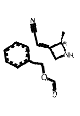 C[C@H]1NCC1=CC#N.O=COCc1ccccc1